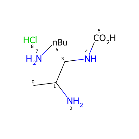 CC(N)CNC(=O)O.CCCCN.Cl